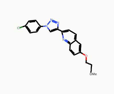 COCCOc1ccc2nc(-c3cn(-c4ccc(Cl)cc4)nn3)ccc2c1